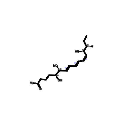 CC[C@H](F)[C@@H](O)\C=C/C=C/C=C/[C@@H](O)[C@@H](O)CCCC(=O)O